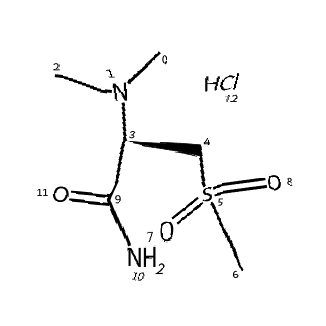 CN(C)[C@@H](CS(C)(=O)=O)C(N)=O.Cl